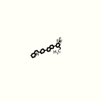 CCc1cc(-c2ccc3cc(-c4ccc(-c5ccc6ccccc6n5)cc4)ccc3c2)cc(C(F)(F)F)c1